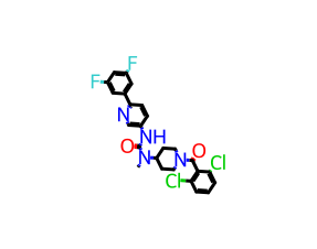 CN(C(=O)Nc1ccc(-c2cc(F)cc(F)c2)nc1)C1CCN(C(=O)c2c(Cl)cccc2Cl)CC1